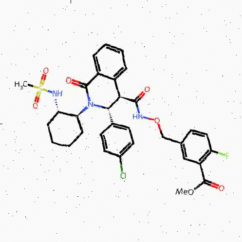 COC(=O)c1cc(CONC(=O)[C@@H]2c3ccccc3C(=O)N([C@H]3CCCC[C@@H]3NS(C)(=O)=O)[C@H]2c2ccc(Cl)cc2)ccc1F